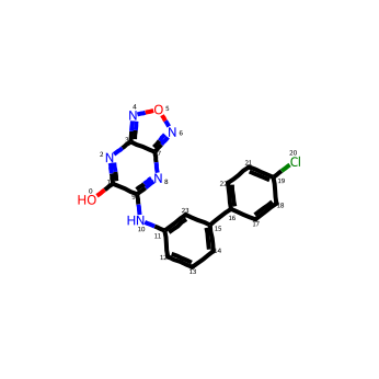 Oc1nc2nonc2nc1Nc1cccc(-c2ccc(Cl)cc2)c1